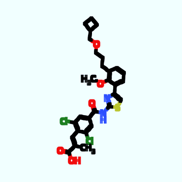 COc1c(CCCOCC2CCC2)cccc1-c1csc(NC(=O)c2cc(Cl)c(C=C(C)C(=O)O)c(Cl)c2)n1